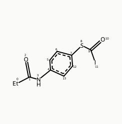 CCC(=O)Nc1ccc(SC(=O)I)cc1